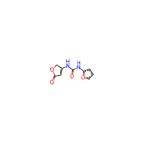 O=C(NC1=CC(=O)OC1)Nc1ccco1